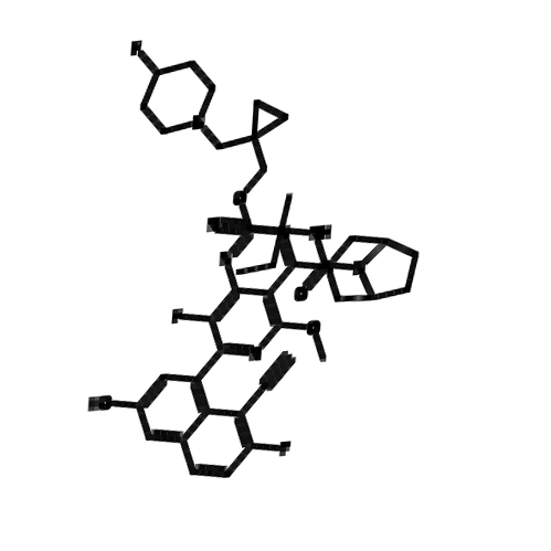 C#Cc1c(F)ccc2cc(O)cc(-c3nc(OC)c4c(N5CC6CCC(C5)N6C(=O)NC(C)(C#N)CC)nc(OCC5(CN6CCC(F)CC6)CC5)nc4c3F)c12